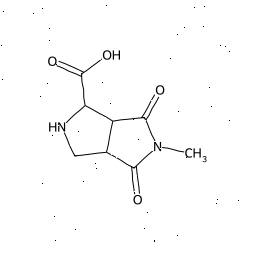 CN1C(=O)C2CNC(C(=O)O)C2C1=O